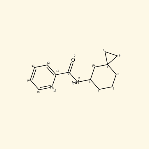 O=C(NC1CCCC2(CC2)C1)c1ccccn1